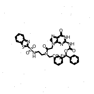 CCOC(=O)CN(CCNS(=O)(=O)c1nc2ccccc2s1)C(=O)Cn1cnc2c(=O)[nH]c(NC(=O)OC(c3ccccc3)c3ccccc3)nc21